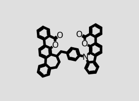 O=c1oc2c3c(ccc2c2ccccc12)-c1ccccc1CCC3Cc1ccc(-n2c3ccccc3c3ccc4c5ccccc5c(=O)oc4c32)cc1